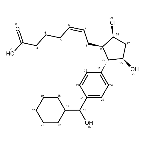 O=C(O)CCC/C=C\C[C@@H]1[C@@H](c2ccc(C(O)C3CCCCC3)cc2)[C@H](O)C[C@@H]1Cl